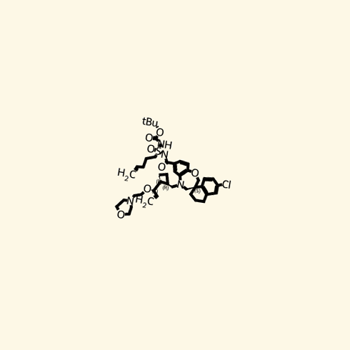 C=CCCCS(=O)(=NC(=O)c1ccc2c(c1)N(C[C@@H]1CC[C@H]1[C@H](C=C)OCCN1CCOCC1)C[C@@]1(CCCc3cc(Cl)ccc31)CO2)NC(=O)OC(C)(C)C